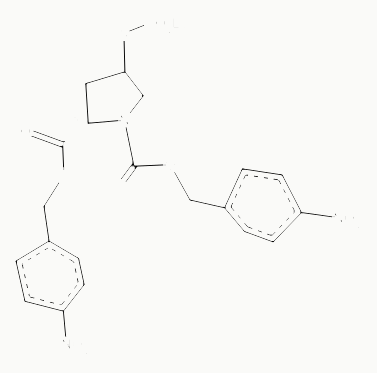 CCOC(=O)SC1C[C@@H](C(=O)OCc2ccc([N+](=O)[O-])cc2)N(C(=O)OCc2ccc([N+](=O)[O-])cc2)C1